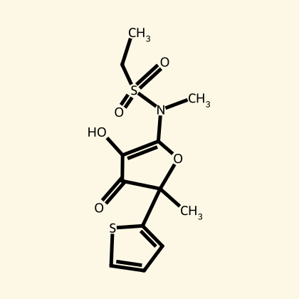 CCS(=O)(=O)N(C)C1=C(O)C(=O)C(C)(c2cccs2)O1